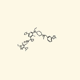 CCN(c1cc(Cl)cc(C(=O)NCc2c(OC)nn(CC)c2C)c1C)C1CCC(N(C)Cc2cccc(OC)c2)CC1